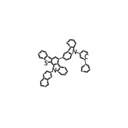 c1ccc(-c2cccc(-n3c4ccccc4c4cc(-c5cc6c7ccccc7sc6c6c5c5ccccc5n6-c5ccc6ccccc6c5)ccc43)c2)cc1